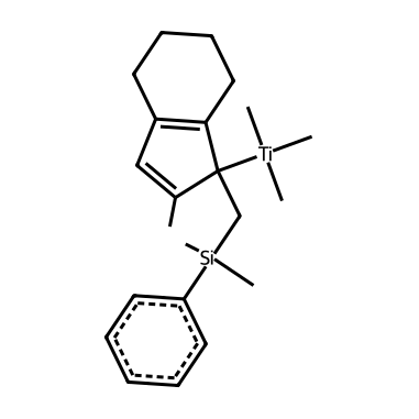 CC1=CC2=C(CCCC2)[C]1(C[Si](C)(C)c1ccccc1)[Ti]([CH3])([CH3])[CH3]